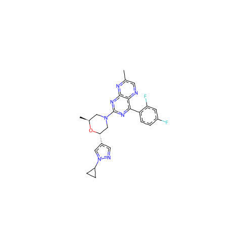 Cc1cnc2c(-c3ccc(F)cc3F)nc(N3C[C@H](C)O[C@@H](c4cnn(C5CC5)c4)C3)nc2n1